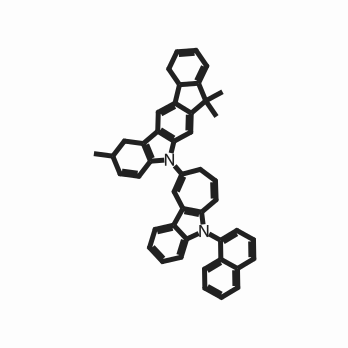 CC1C=Cc2c(c3cc4c(cc3n2C2=Cc3c(n(-c5cccc6ccccc56)c5ccccc35)C=CC2)C(C)(C)C2=CC=CCC24)C1